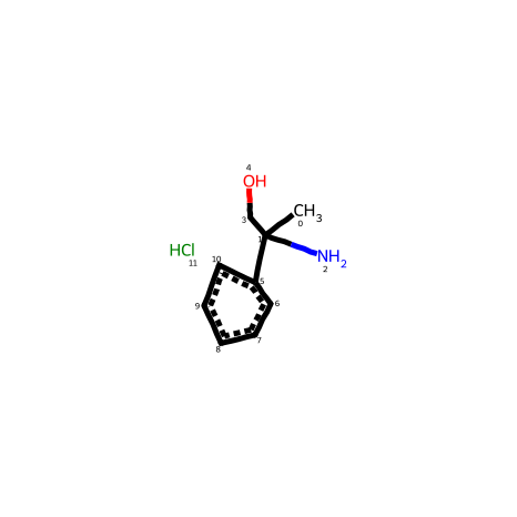 CC(N)(CO)c1ccccc1.Cl